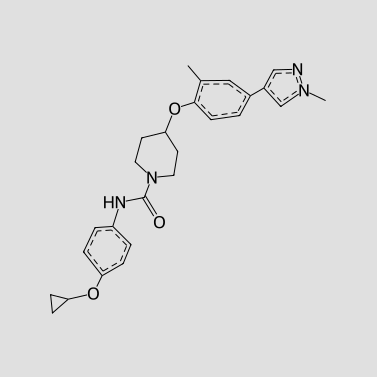 Cc1cc(-c2cnn(C)c2)ccc1OC1CCN(C(=O)Nc2ccc(OC3CC3)cc2)CC1